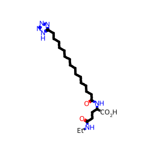 CCNC(=O)CCC(NC(=O)CCCCCCCCCCCCCCCc1nnn[nH]1)C(=O)O